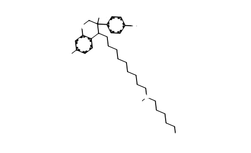 CC1(c2ccc(O)cc2)CSc2cc(O)ccc2C1CCCCCCCCC[S+]([O-])CCCCCC(=O)O